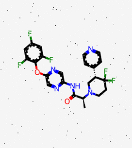 C[C@@H](C(=O)Nc1cnc(Oc2c(F)cc(F)cc2F)cn1)N1CCC(F)(F)[C@@H](c2ccncc2)C1